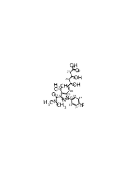 CC(C)c1c(C(=O)N(C)C)nn(-c2ccc(F)cc2)c1CCC(O)CC(O)CC(=O)O